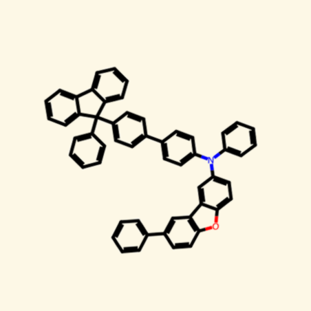 c1ccc(-c2ccc3oc4ccc(N(c5ccccc5)c5ccc(-c6ccc(C7(c8ccccc8)c8ccccc8-c8ccccc87)cc6)cc5)cc4c3c2)cc1